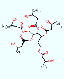 CC(O)CC(=O)OCCC(OC(=O)CC(C)O)C(OC(=O)CC(C)O)C(COC(=O)CC(C)O)OC(=O)CC(C)O